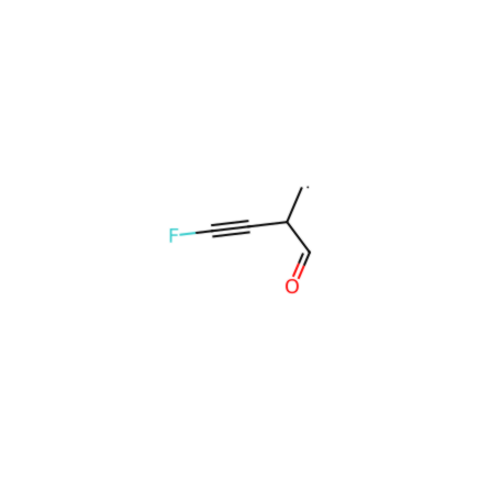 [CH2]C(C#CF)C=O